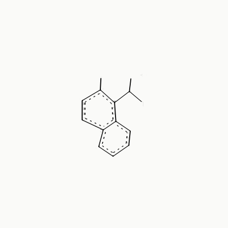 CCCCCC(CC)c1c(CC)ccc2ccccc12